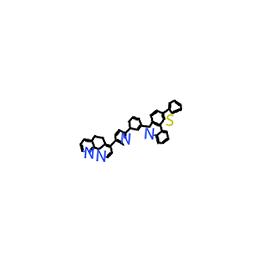 C1=CC(c2nc3ccccc3c3c2ccc2c4ccccc4sc23)=CC(c2ccc(-c3ccnc4c3CCc3cccnc3-4)cn2)C1